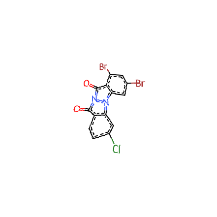 O=c1c2ccc(Cl)cc2n2c3cc(Br)cc(Br)c3c(=O)n12